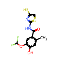 Cc1cc(O)c(OC(F)F)cc1C(=O)Nc1nc(S)cs1